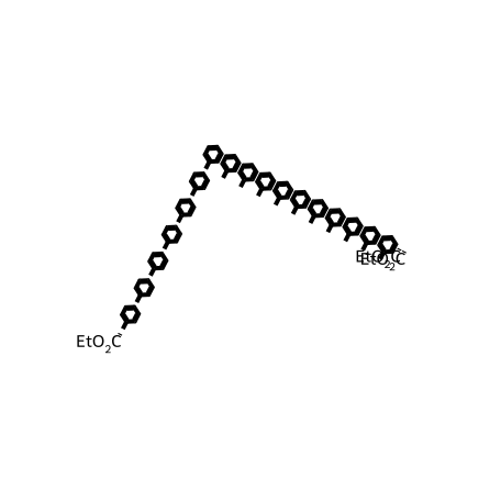 CCOC(C)=O.CCOC(C)=O.CCOC(C)=O.Cc1ccccc1.Cc1ccccc1.Cc1ccccc1.Cc1ccccc1.Cc1ccccc1.Cc1ccccc1.Cc1ccccc1.Cc1ccccc1.Cc1ccccc1.Cc1ccccc1.Cc1ccccc1.Cc1ccccc1.Cc1ccccc1.Cc1ccccc1.Cc1ccccc1.Cc1ccccc1.Cc1ccccc1